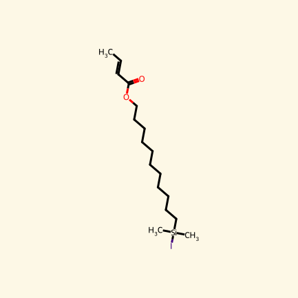 CC=CC(=O)OCCCCCCCCCCC[Si](C)(C)I